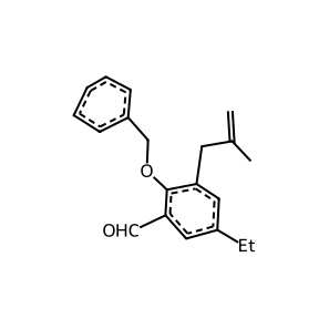 C=C(C)Cc1cc(CC)cc(C=O)c1OCc1ccccc1